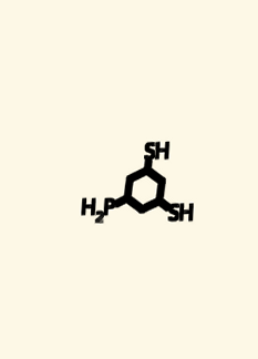 PC1CC(S)CC(S)C1